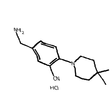 CC1(C)CCN(c2ccc(CN)cc2C#N)CC1.Cl